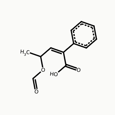 CC(C=C(C(=O)O)c1ccccc1)OC=O